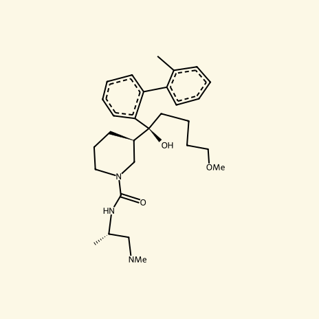 CNC[C@H](C)NC(=O)N1CCC[C@@H]([C@@](O)(CCCCOC)c2ccccc2-c2ccccc2C)C1